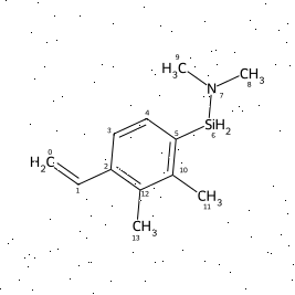 C=Cc1ccc([SiH2]N(C)C)c(C)c1C